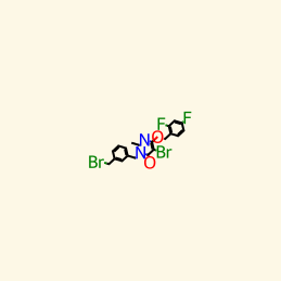 Cc1nc(OCc2ccc(F)cc2F)c(Br)c(=O)n1Cc1cccc(CBr)c1